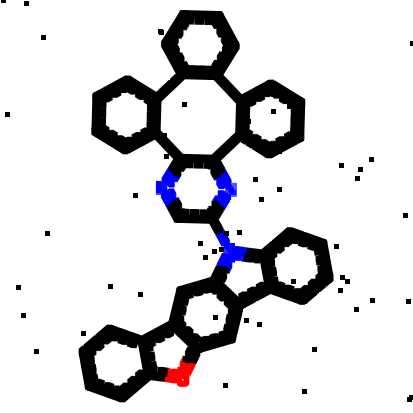 c1ccc2c(c1)-c1ccccc1-c1ncc(-n3c4ccccc4c4cc5oc6ccccc6c5cc43)nc1-c1ccccc1-2